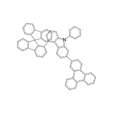 c1ccc(-n2c3cc(-c4ccc5c6ccccc6c6ccccc6c5c4)ccc3c3c(-c4cccc5c4C4(c6ccccc6-c6ccccc64)c4ccccc4-5)cccc32)cc1